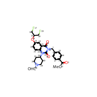 COC(=O)c1ccc(Cn2c(=O)c3cc(OC(CF)CF)ccc3n(C3CCN(C=O)CC3)c2=O)cc1